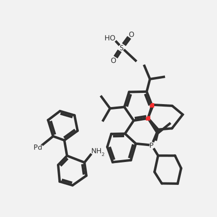 CC(C)c1cc(C(C)C)c(-c2ccccc2P(C2CCCCC2)C2CCCCC2)c(C(C)C)c1.CS(=O)(=O)O.Nc1ccccc1-c1cccc[c]1[Pd]